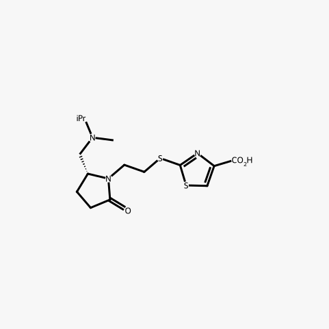 CC(C)N(C)C[C@H]1CCC(=O)N1CCSc1nc(C(=O)O)cs1